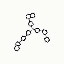 c1ccc(-c2cccc(-c3ccc(N(c4ccc(-c5ccc(-c6ccc7ccccc7c6)cc5)cc4)c4ccc(-c5cccc6ccccc56)cc4)cc3)c2)cc1